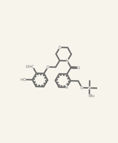 CC(C)(C)[Si](C)(C)OCc1ncccc1C(=O)N1CCOCC1COc1cccc(O)c1C=O